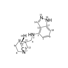 c1cc(NC[C@@H]2CN3CCC2CC3)c2cn[nH]c2c1